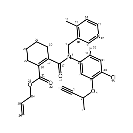 C#CC(C)Oc1cc(N(Cc2cnccc2C)C(=O)C2=C(C(=O)OCC=C)CCCC2)c(F)cc1Cl